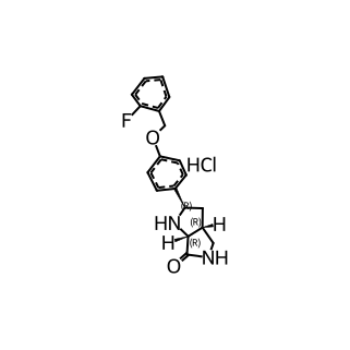 Cl.O=C1NC[C@H]2C[C@H](c3ccc(OCc4ccccc4F)cc3)N[C@@H]12